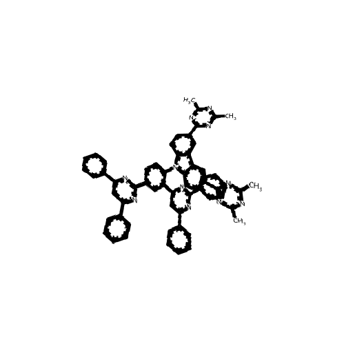 Cc1nc(C)nc(-c2ccc3c(c2)c2cc(-c4nc(C)nc(C)n4)ccc2n3-c2ccc(-c3nc(-c4ccccc4)cc(-c4ccccc4)n3)cc2-c2cc(-c3ccccc3)nc(-c3ccccc3)n2)n1